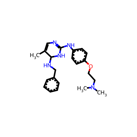 CC1=CN=C(Nc2ccc(OCCN(C)C)cc2)NC1NCc1ccccc1